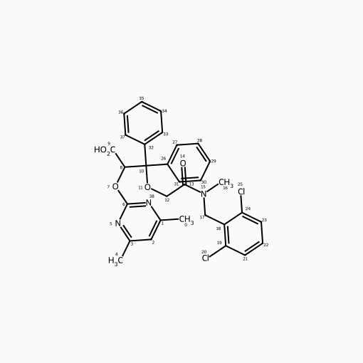 Cc1cc(C)nc(OC(C(=O)O)C(OCC(=O)N(C)Cc2c(Cl)cccc2Cl)(c2ccccc2)c2ccccc2)n1